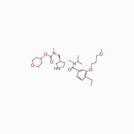 CCc1ccc(C(=O)N(C[C@@H]2CNC[C@H]2CN(C)C(=O)OC2CCOCC2)C(C)C)cc1OCCCOC